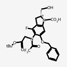 CC(C)(C)OC(=O)CN(C(=O)C(F)(F)F)c1c(OCc2ccccc2)cc2c(c1F)C[C@H](CO)N2C(=O)O